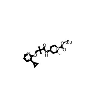 C[C@@H]1CC(NC(=O)C(C)(C)COc2ncccc2C2CC2)CCN1C(=O)OC(C)(C)C